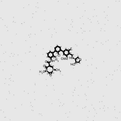 COc1cc(-c2cccc(-c3cccc(NC(=O)C4=CN(C)C5OC5N(C)C4=O)c3C)c2Cl)cc(F)c1CN[C@H]1COC[C@H]1O